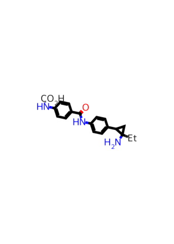 CCC1(N)CC1c1ccc(NC(=O)c2ccc(NC(=O)O)cc2)cc1